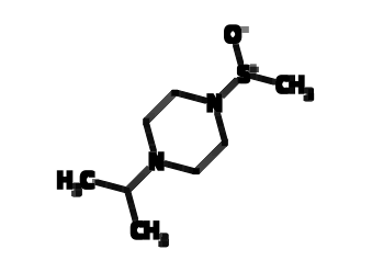 CC(C)N1CCN([S+](C)[O-])CC1